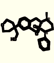 C[C@H]1CC[C@H](c2ccccc2)S(=O)(=O)N1Cc1ccc(C2(CO)CCOCC2)cc1F